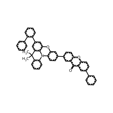 CC1(C)c2ccccc2N2c3ccc(-c4ccc5oc6ccc(-c7ccccc7)cc6c(=O)c5c4)cc3Oc3cc(-c4ccccc4-c4ccccc4)cc1c32